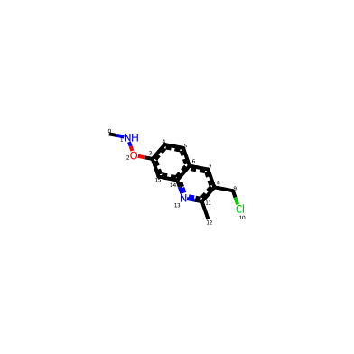 CNOc1ccc2cc(CCl)c(C)nc2c1